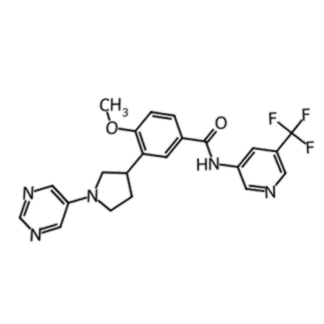 COc1ccc(C(=O)Nc2cncc(C(F)(F)F)c2)cc1C1CCN(c2cncnc2)C1